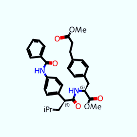 COC(=O)CCc1ccc(C[C@H](NC(=O)[C@@H](CC(C)C)c2ccc(NC(=O)c3ccccc3)cc2)C(=O)OC)cc1